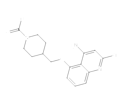 CCCC(=O)N1CCC(COc2cccc3nc(C)cc(N)c23)CC1